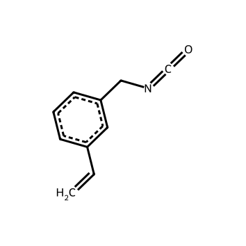 C=Cc1cccc(CN=C=O)c1